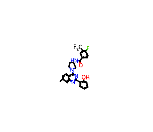 Cc1ccc2c(N3CC[C@@H](NC(=O)c4ccc(F)c(C(F)(F)F)c4)C3)nc(-c3ccccc3O)nc2c1